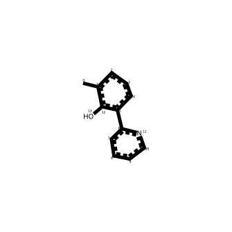 Cc1cccc(-c2ccccn2)c1O